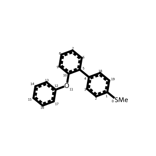 CSc1ccc(-c2ccccc2Oc2ccccc2)cc1